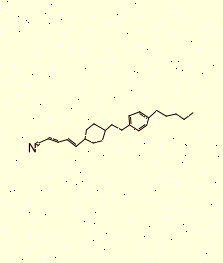 CCCCCc1ccc(CCC2CCC(C=CC=CC#N)CC2)cc1